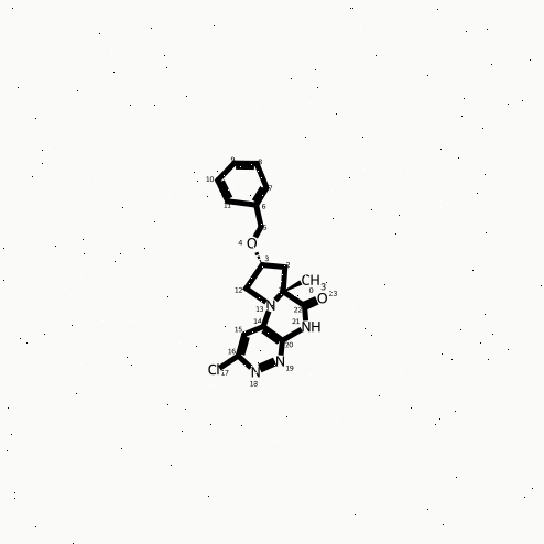 C[C@]12C[C@@H](OCc3ccccc3)CN1c1cc(Cl)nnc1NC2=O